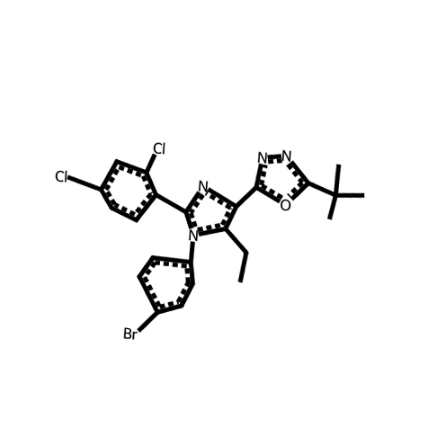 CCc1c(-c2nnc(C(C)(C)C)o2)nc(-c2ccc(Cl)cc2Cl)n1-c1ccc(Br)cc1